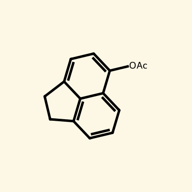 CC(=O)Oc1ccc2c3c(cccc13)CC2